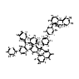 c1ccc(-c2ccc(-c3ccc(N(c4ccc(-c5ccc(-c6cccc7c6oc6ccccc67)cc5)cc4)c4cccc5ccccc45)cc3)c(-n3c4ccccc4c4ccccc43)c2)cc1